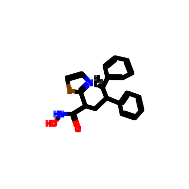 CC(c1ccccc1)C(CC(C(=O)NO)c1nccs1)c1ccccc1